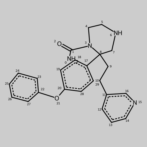 NC(=O)N1CCNCC1(CCc1cccnc1)c1ccc(Oc2ccccc2)cc1